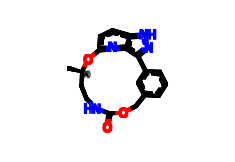 C[C@@H]1CCNC(=O)OCc2cccc(c2)-c2n[nH]c3ccc(nc23)O1